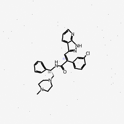 CN1CCN(C[C@@H](NC(=O)/C(=C/c2n[nH]c3ncccc23)c2cccc(Cl)c2)c2ccccc2)CC1